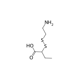 CCC(SSCCN)C(=O)O